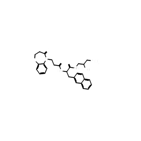 O=C(CCN1C(=O)CCSc2ccccc21)NC(Cc1ccc2ccccc2c1)C(=O)NCC(O)C[AsH2]